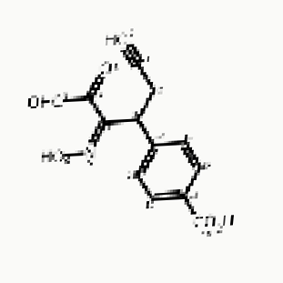 C#CCC(C(=NO)C(=O)C=O)c1ccc(C(=O)O)cc1